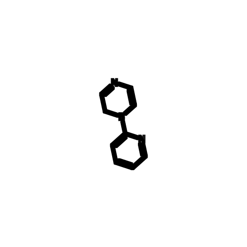 C1=CB(c2ccccn2)CC=N1